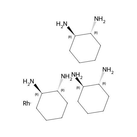 N[C@@H]1CCCC[C@H]1N.N[C@@H]1CCCC[C@H]1N.N[C@@H]1CCCC[C@H]1N.[Rh]